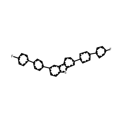 Fc1ccc(-c2ccc(-c3ccc4c(c3)sc3ccc(-c5ccc(-c6ccc(F)cc6)cc5)cc34)cc2)cc1